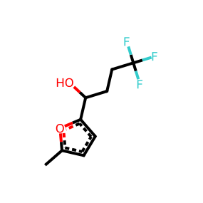 Cc1ccc(C(O)CCC(F)(F)F)o1